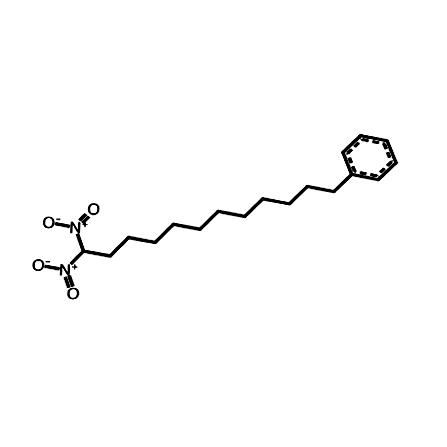 O=[N+]([O-])C(CCCCCCCCCCCc1ccccc1)[N+](=O)[O-]